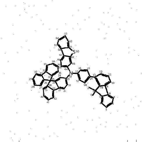 CC1(C)c2ccccc2-c2cccc(-c3ccc(N(c4ccc5c(c4)C4(c6ccccc6-c6ccccc64)c4ccccc4-5)c4ccc5c(c4)sc4ccccc45)cc3)c21